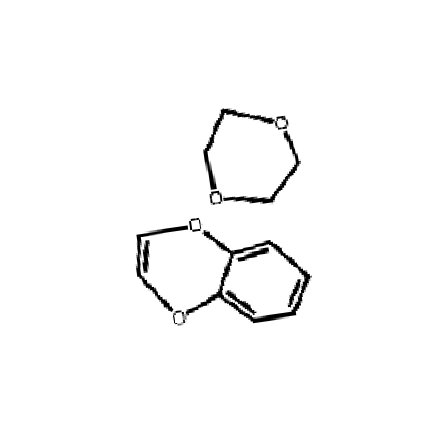 C1=COc2ccccc2O1.C1COCCO1